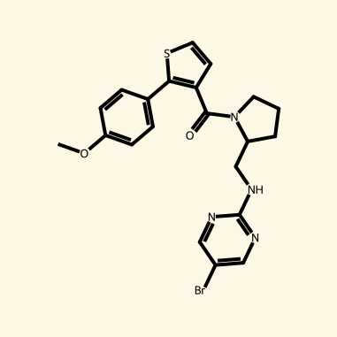 COc1ccc(-c2sccc2C(=O)N2CCCC2CNc2ncc(Br)cn2)cc1